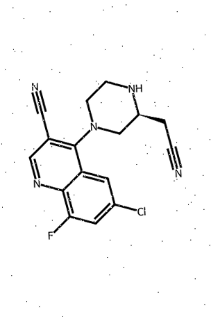 N#CC[C@H]1CN(c2c(C#N)cnc3c(F)cc(Cl)cc23)CCN1